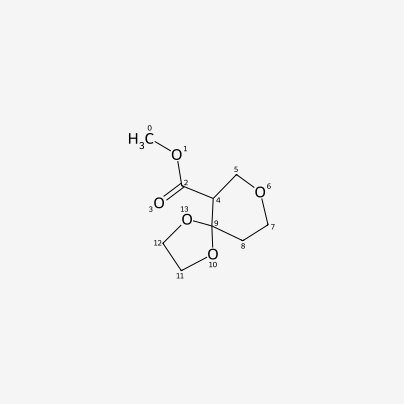 COC(=O)C1COCCC12OCCO2